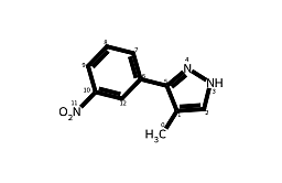 Cc1c[nH]nc1-c1cccc([N+](=O)[O-])c1